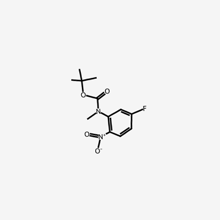 CN(C(=O)OC(C)(C)C)c1cc(F)ccc1[N+](=O)[O-]